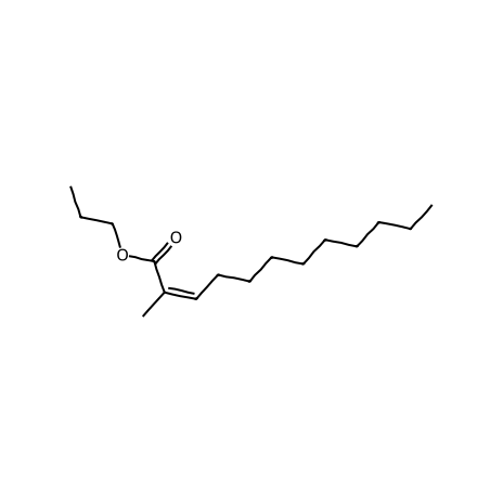 CCCCCCCCCC=C(C)C(=O)OCCC